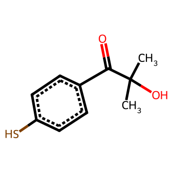 CC(C)(O)C(=O)c1ccc(S)cc1